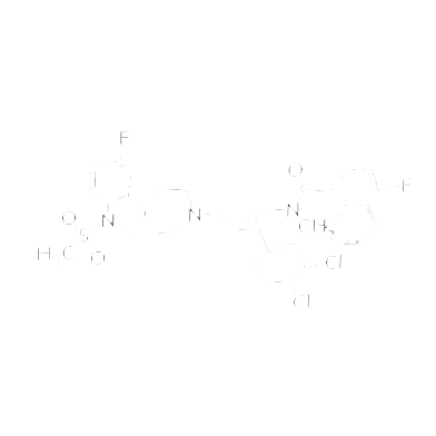 CN(C[C@@H](CCN1CCC2(CC1)CN(S(C)(=O)=O)c1ccc(F)cc12)c1ccc(Cl)c(Cl)c1)C(=O)c1ccc(F)c2ccccc12